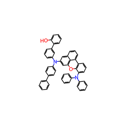 Oc1ccccc1-c1cccc(N(c2ccc(-c3ccccc3)cc2)c2cc3c4c(cccc4c2)-c2cccc(N(c4ccccc4)c4ccccc4)c2O3)c1